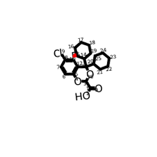 O=C(O)C1Oc2ccc(Cl)c(F)c2C(C2CCCCC2)(C2CCCCC2)O1